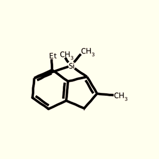 CCc1c2ccc3c1C(=C(C)[CH]3)[Si]2(C)C